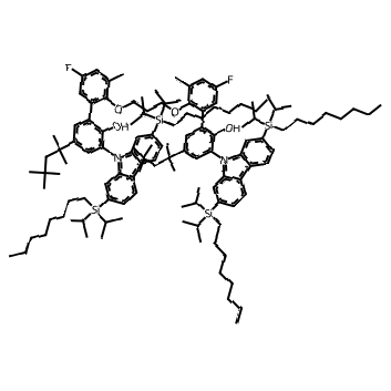 CCCCCCCC[Si](c1ccc2c3ccc([Si](CCCCCCCC)(C(C)C)C(C)C)cc3n(-c3cc(C(C)(C)CC(C)(C)C)cc(-c4cc(F)cc(C)c4OCCCOc4c(C)cc(F)cc4-c4cc(C(C)(C)CC(C)(C)C)cc(-n5c6cc([Si](CCCCCCCC)(C(C)C)C(C)C)ccc6c6ccc([Si](CCCCCCCC)(C(C)C)C(C)C)cc65)c4O)c3O)c2c1)(C(C)C)C(C)C